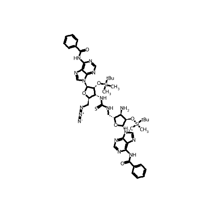 CC(C)(C)[Si](C)(C)O[C@@H]1[C@H](N)[C@@H](CNC(=S)N[C@H]2[C@@H](O[Si](C)(C)C(C)(C)C)[C@H](n3cnc4c(NC(=O)c5ccccc5)ncnc43)O[C@@H]2CN=[N+]=[N-])O[C@H]1n1cnc2c(NC(=O)c3ccccc3)ncnc21